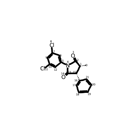 C[C@H]1C(=O)N(c2cc(Cl)cc(Cl)c2)C(=O)[C@H]1c1ccccc1